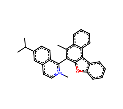 Cc1c(-c2c3ccc(C(C)C)cc3cc[n+]2C)c2oc3ccccc3c2c2ccccc12